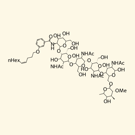 CCCCCC/C=C\CCCOc1cccc(C(=O)N[C@@H]2C(O[C@H]3C(O)C(NC(C)=O)C(OC4C(CO)O[C@@H](O[C@H]5C(O)C(NC(C)=O)C(OC6C(CO[C@@H]7OC(C)C(O)[C@H](C)[C@H]7OC)OC(O)C(NC(C)=O)[C@H]6O)O[C@H]5CO)C(NC(C)=O)[C@H]4O)O[C@H]3CO)OC(CO)[C@@H](O)[C@@H]2O)c1